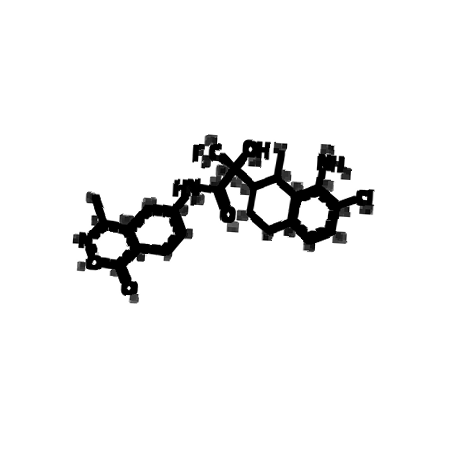 Cc1noc(=O)c2ccc(NC(=O)[C@](O)(C3CCc4ccc(Cl)c(N)c4C3C)C(F)(F)F)cc12